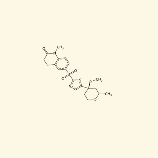 CO[C@]1(c2cnc(S(=O)(=O)c3ccc4c(c3)CCC(=O)N4C)s2)CCOC(C)C1